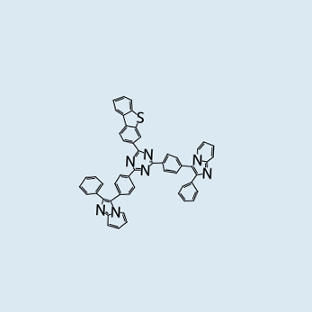 c1ccc(-c2nc3ccccn3c2-c2ccc(-c3nc(-c4ccc(-c5c(-c6ccccc6)nc6ccccn56)cc4)nc(-c4ccc5c(c4)sc4ccccc45)n3)cc2)cc1